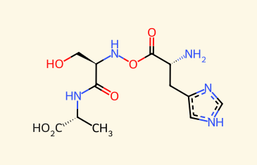 C[C@@H](NC(=O)[C@@H](CO)NOC(=O)[C@H](N)Cc1c[nH]cn1)C(=O)O